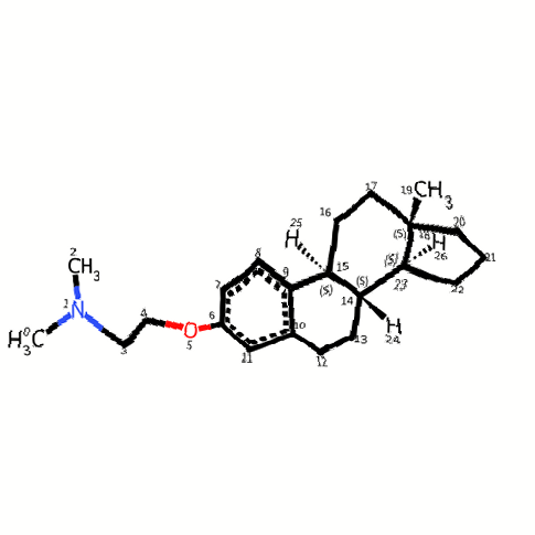 CN(C)CCOc1ccc2c(c1)CC[C@@H]1[C@@H]2CC[C@]2(C)CCC[C@@H]12